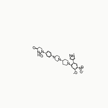 COc1cc(N2CCC(N3CCN(c4ccc(N5CCC(=O)NC5=O)cc4)CC3)CC2)c(-c2cnn(C)c2)cc1[N+](=O)[O-]